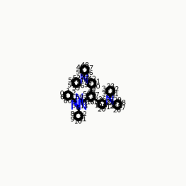 c1ccc(-c2nc(-c3ccccc3)nc(-c3cc(-c4cccc(N(c5ccccc5)c5ccccc5)c4)cc(-c4cccc(N(c5ccccc5)c5ccccc5)c4)c3)n2)cc1